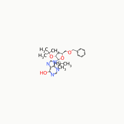 C[SiH](C)[C@@]1(n2cnc3c(O)ncnc32)O[C@H](COCc2ccccc2)C[C@H]1OC(C)(C)C